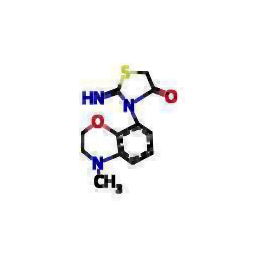 CN1CCOc2c1cccc2N1C(=N)SCC1=O